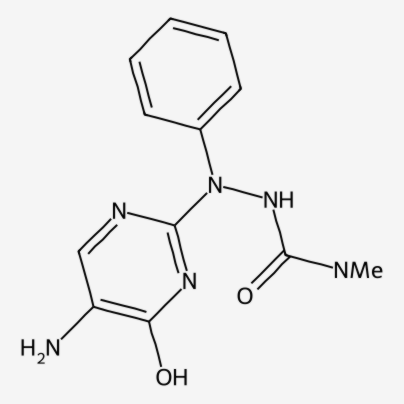 CNC(=O)NN(c1ccccc1)c1ncc(N)c(O)n1